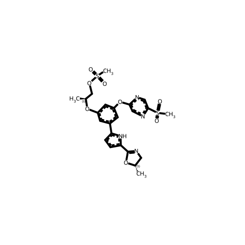 C[C@H]1CN=C(c2ccc(-c3cc(Oc4cnc(S(C)(=O)=O)cn4)cc(O[C@@H](C)COS(C)(=O)=O)c3)[nH]2)O1